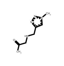 CC(=O)CNCc1cn(C)nn1